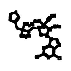 C#C[C@@]1(OC(C)=O)[C@@H](COC(Cc2ccsc2)(C(=O)OCC)C(=O)OCC)O[C@@H](n2cnc3c(Cl)nc(Cl)nc32)[C@@H]1OC(C)=O